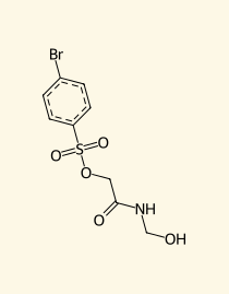 O=C(COS(=O)(=O)c1ccc(Br)cc1)NCO